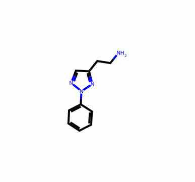 NCCc1cnn(-c2ccccc2)n1